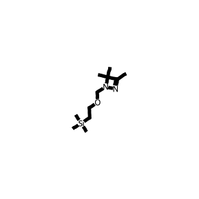 CC1=NN(COCC[Si](C)(C)C)C1(C)C